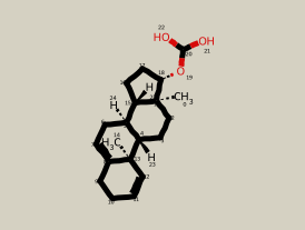 C[C@]12CC[C@H]3[C@@H](CC=C4CCC=C[C@@]43C)[C@@H]1CC[C@@H]2OC(O)O